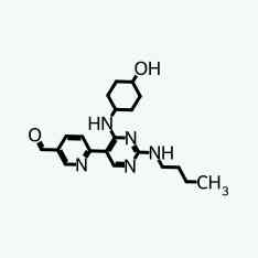 CCCCNc1ncc(-c2ccc(C=O)cn2)c(NC2CCC(O)CC2)n1